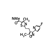 CNC(=O)c1sc(CCc2c(-c3ccc(F)cn3)noc2C)nc1C